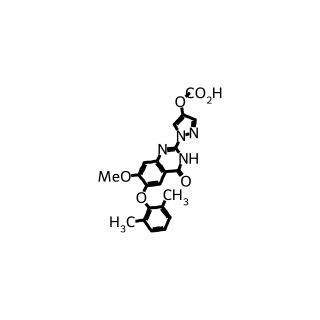 COc1cc2nc(-n3cc(OC(=O)O)cn3)[nH]c(=O)c2cc1Oc1c(C)cccc1C